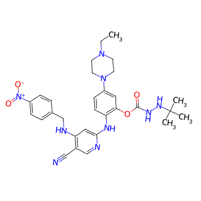 CCN1CCN(c2ccc(Nc3cc(NCc4ccc([N+](=O)[O-])cc4)c(C#N)cn3)c(OC(=O)NNC(C)(C)C)c2)CC1